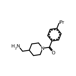 CC(C)c1ccc(C(=O)N2CCC(CN)CC2)cc1